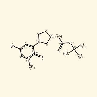 Cn1cc(Br)cc(N2CC[C@H](NC(=O)OC(C)(C)C)C2)c1=O